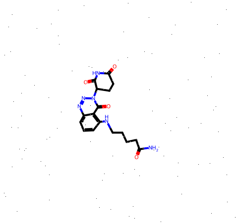 NC(=O)CCCCNc1cccc2nnn(C3CCC(=O)NC3=O)c(=O)c12